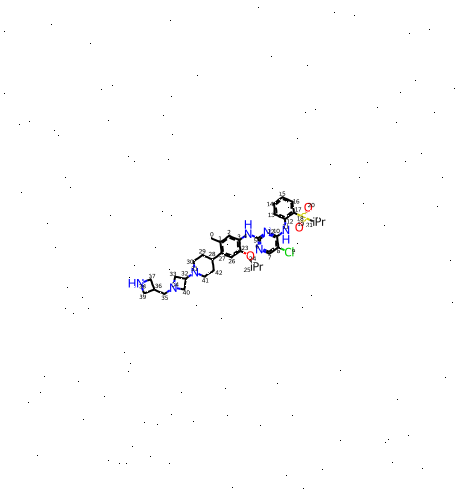 Cc1cc(Nc2ncc(Cl)c(Nc3ccccc3S(=O)(=O)C(C)C)n2)c(OC(C)C)cc1C1CCN(C2CN(CC3CNC3)C2)CC1